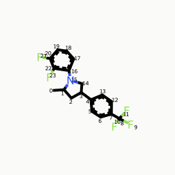 CC1CC(c2ccc(C(F)(F)F)cc2)CN1c1cccc(F)c1F